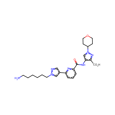 NCCCCCCn1cc(-c2cccc(C(=O)Nc3cn(C4CCOCC4)nc3C(=O)O)n2)cn1